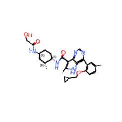 Cc1ccc(OCC2CC2)c(-c2ncnc3c(C(=O)N[C@H]4CC[C@H](NC(=O)CO)C[C@H]4C)c(C)[nH]c23)c1